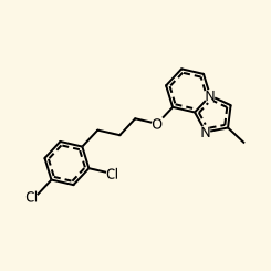 Cc1cn2cccc(OCCCc3ccc(Cl)cc3Cl)c2n1